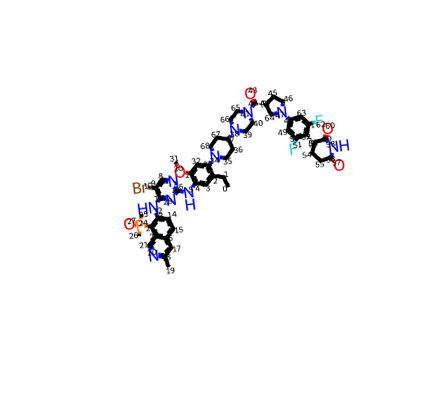 CCc1cc(Nc2ncc(Br)c(Nc3ccc4cc(C)ncc4c3P(C)(C)=O)n2)c(OC)cc1N1CCC(N2CCN(C(=O)[C@@H]3CCN(c4cc(F)c([C@H]5CCC(=O)NC5=O)c(F)c4)C3)CC2)CC1